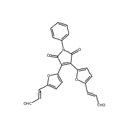 O=C/C=C/c1ccc(C2=C(c3ccc(/C=C/C=O)o3)C(=O)N(c3ccccc3)C2=O)o1